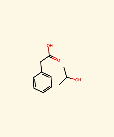 CC(C)O.O=C(O)Cc1ccccc1